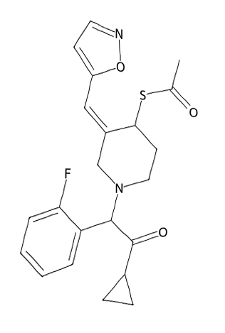 CC(=O)SC1CCN(C(C(=O)C2CC2)c2ccccc2F)CC1=Cc1ccno1